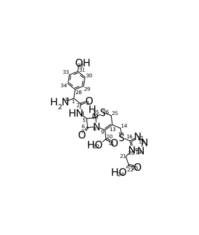 NC(C(=O)NC1C(=O)N2C(C(=O)O)=C(CSc3nnnn3CC(=O)O)CS[C@@H]12)c1ccc(O)cc1